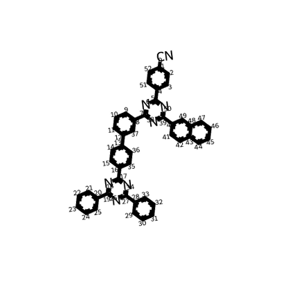 N#Cc1ccc(-c2nc(-c3cccc(-c4ccc(-c5nc(-c6ccccc6)nc(-c6ccccc6)n5)cc4)c3)nc(-c3ccc4ccccc4c3)n2)cc1